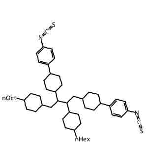 CCCCCCCCC1CCC(CC(C2CCC(c3ccc(N=C=S)cc3)CC2)C(CC2CCC(c3ccc(N=C=S)cc3)CC2)C2CCC(CCCCCC)CC2)CC1